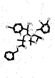 CC(C)(C[C@H](N1[C@H](Cc2cccc(Cl)c2F)C(=O)OC1(C)C)[C@](C)(N)c1ccc(Cl)cc1F)C(=O)OCc1ccccc1